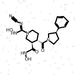 N#C/N=C(\NO)N1CC[C@H](C(=O)N2CC[C@H](c3ccccc3)C2)[C@@H](C(=O)NO)C1